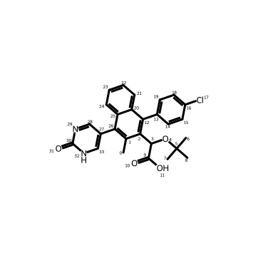 Cc1c(C(OC(C)(C)C)C(=O)O)c(-c2ccc(Cl)cc2)c2ccccc2c1-c1cnc(=O)[nH]c1